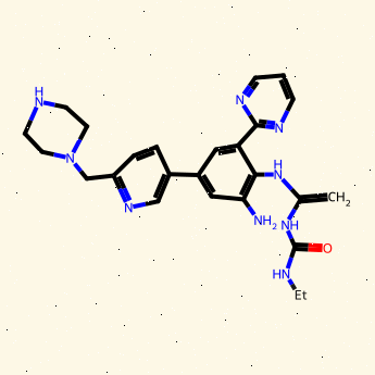 C=C(NC(=O)NCC)Nc1c(N)cc(-c2ccc(CN3CCNCC3)nc2)cc1-c1ncccn1